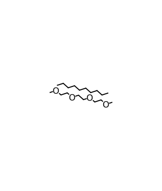 CCCCCCCCCC.COCCOCCOCCOC